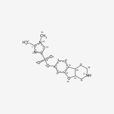 Cc1nc(S(=O)(=O)Oc2ccc3c(c2)OC2CNCCC32)cn1C